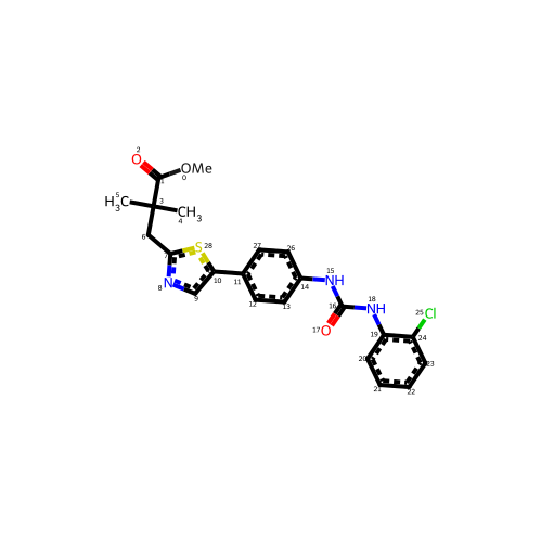 COC(=O)C(C)(C)Cc1ncc(-c2ccc(NC(=O)Nc3ccccc3Cl)cc2)s1